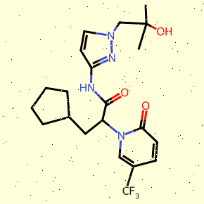 CC(C)(O)Cn1ccc(NC(=O)C(CC2CCCC2)n2cc(C(F)(F)F)ccc2=O)n1